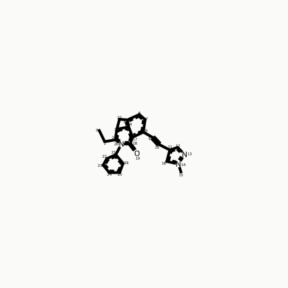 CCc1c2c3c(ccc(C#Cc4cnn(C)c4)c3c(=O)n1-c1ccccc1)C2